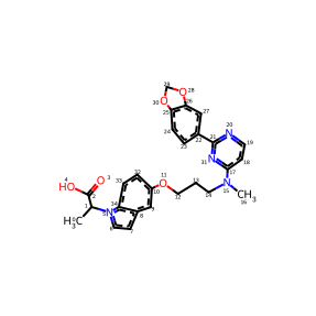 CC(C(=O)O)n1ccc2cc(OCCCN(C)c3ccnc(-c4ccc5c(c4)OCO5)n3)ccc21